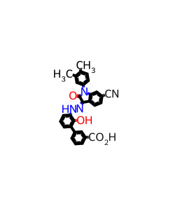 Cc1ccc(N2C(=O)C(=NNc3cccc(-c4cccc(C(=O)O)c4)c3O)c3ccc(C#N)cc32)cc1C